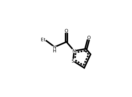 CCNC(=O)n1sccc1=O